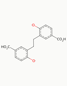 [O]c1ccc(C(=O)O)cc1CCc1cc(C(=O)O)ccc1[O]